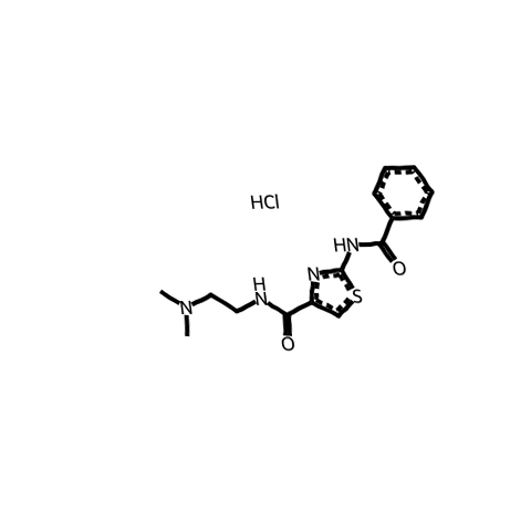 CN(C)CCNC(=O)c1csc(NC(=O)c2ccccc2)n1.Cl